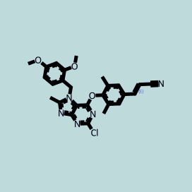 COc1ccc(Cn2c(C)nc3nc(Cl)nc(Oc4c(C)cc(/C=C/C#N)cc4C)c32)c(OC)c1